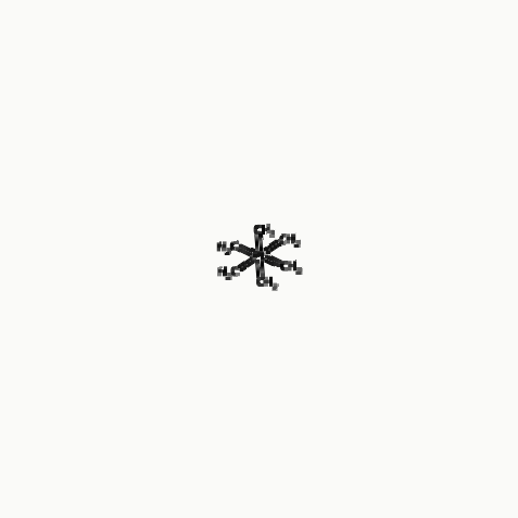 [CH2]=[Pt](=[CH2])(=[CH2])(=[CH2])(=[CH2])=[CH2]